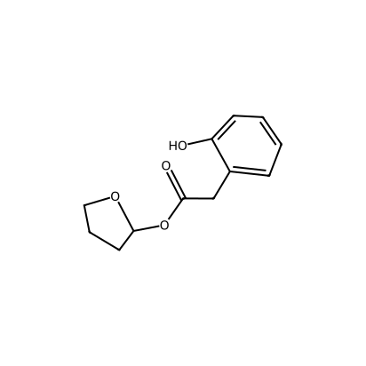 O=C(Cc1ccccc1O)OC1CCCO1